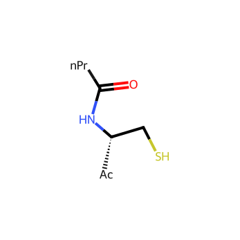 CCCC(=O)N[C@H](CS)C(C)=O